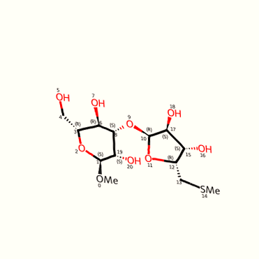 CO[C@H]1O[C@H](CO)[C@@H](O)[C@H](O[C@@H]2O[C@@H](CSC)[C@@H](O)[C@@H]2O)[C@@H]1O